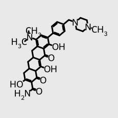 CN1CCN(Cc2ccc(-c3cc(N(C)C)c4c(c3O)C(=O)C3=C(O)C5C(=O)C(C(N)=O)=C(O)CC5CC3C4)cc2)CC1